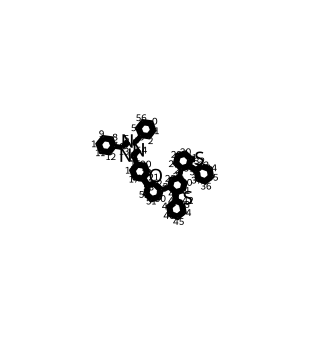 c1ccc(-c2nc(-c3ccccc3)nc(-c3ccc4c(c3)oc3c(-c5cc(-c6cccc7sc8ccccc8c67)cc6sc7ccccc7c56)cccc34)n2)cc1